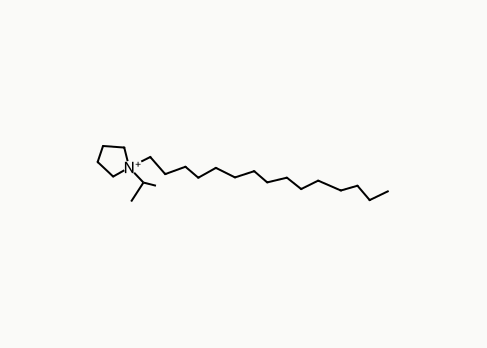 CCCCCCCCCCCCCCC[N+]1(C(C)C)CCCC1